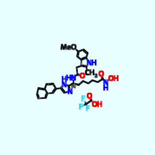 COc1ccc2[nH]c(C)c(CC(=O)N[C@@H](CCCCCC(=O)NO)c3ncc(-c4ccc5ccccc5c4)[nH]3)c2c1.O=C(O)C(F)(F)F